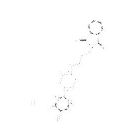 CSc1nc(N2CCN(CCCCN3C(=O)c4ccccc4C3=O)CC2)ncc1F